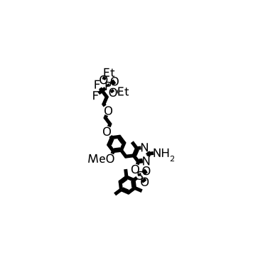 CCOP(=O)(OCC)C(F)(F)CCOCCOc1ccc(Cc2c(C)nc(N)nc2OS(=O)(=O)c2c(C)cc(C)cc2C)c(OC)c1